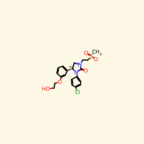 CS(=O)(=O)CCN1C[C@H](c2cccc(OCCO)c2)N(c2ccc(Cl)cc2)C1=O